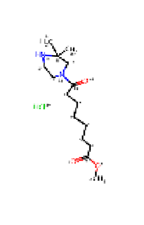 COC(=O)CCCCCCC(=O)N1CCNC(C)(C)C1.Cl